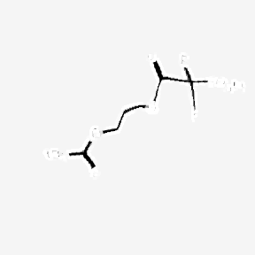 CC(C)(C)C(=O)OCCOC(=O)C(F)(F)S(=O)(=O)O